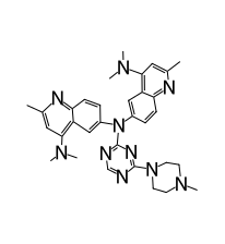 Cc1cc(N(C)C)c2cc(N(c3ccc4nc(C)cc(N(C)C)c4c3)c3ncnc(N4CCN(C)CC4)n3)ccc2n1